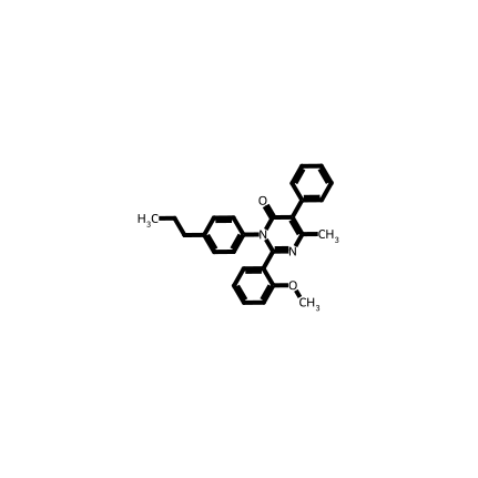 CCCc1ccc(-n2c(-c3ccccc3OC)nc(C)c(-c3ccccc3)c2=O)cc1